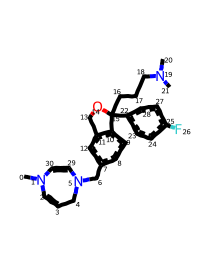 CN1C=CCN(Cc2ccc3c(c2)COC3(CCCN(C)C)c2ccc(F)cc2)C=C1